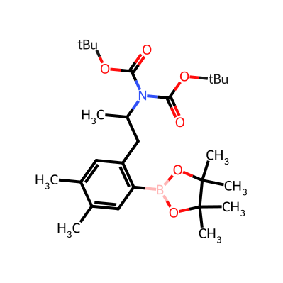 Cc1cc(CC(C)N(C(=O)OC(C)(C)C)C(=O)OC(C)(C)C)c(B2OC(C)(C)C(C)(C)O2)cc1C